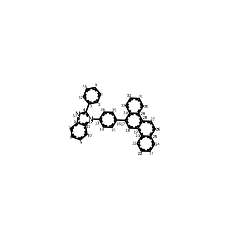 c1ccc(-c2nc3ccccc3n2-c2ccc(-c3cc4c5ccccc5ccc4c4ccccc34)cc2)cc1